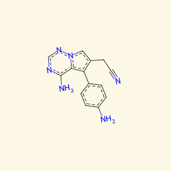 N#CCc1cn2ncnc(N)c2c1-c1ccc(N)cc1